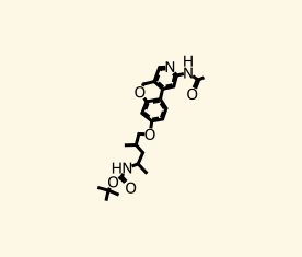 CC(=O)Nc1cc2c(cn1)COc1cc(OCC(C)CC(C)NC(=O)OC(C)(C)C)ccc1-2